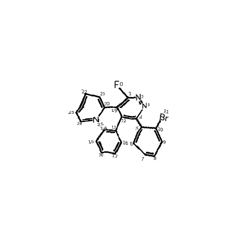 Fc1nnc(-c2ccccc2Br)c(-c2ccccc2)c1-c1ccccn1